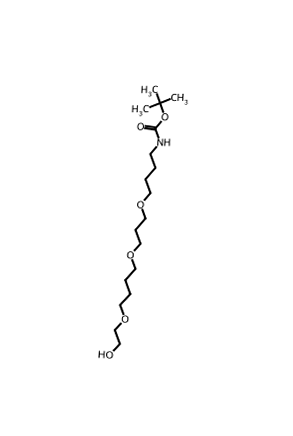 CC(C)(C)OC(=O)NCCCCOCCCOCCCCOCCO